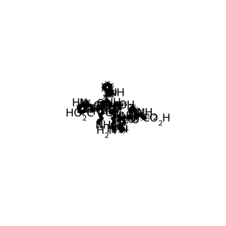 NCCCC[C@H](NC(=O)[C@H](Cc1c[nH]c2ccccc12)NC(=O)[C@@H]1C[C@@H](O)CN1C(=O)[C@H](CCCCN)NC(=O)[C@H](Cc1c[nH]cn1)NC(=O)[C@@H]1CCCN1C(=O)[C@@H](N)CC(=O)O)C(=O)N[C@@H](Cc1c[nH]c2ccccc12)C(=O)O